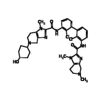 CN1CCc2c(nc(C(=O)Nc3cccc(-c4cccc(NC(=O)c5nc6c(n5C)CCN(C5CCC(O)CC5)C6)c4Cl)c3Cl)n2C)C1